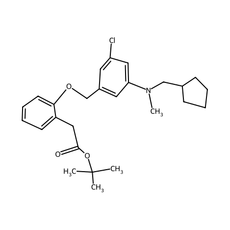 CN(CC1CCCC1)c1cc(Cl)cc(COc2ccccc2CC(=O)OC(C)(C)C)c1